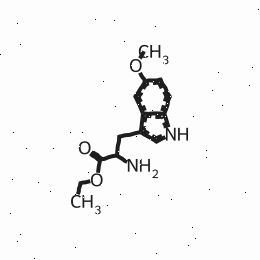 CCOC(=O)C(N)Cc1c[nH]c2ccc(OC)cc12